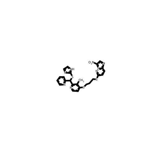 Cc1c(SCCCSc2ccc3ncc([N+](=O)[O-])n3n2)ccnc1C(Sc1ncc[nH]1)c1ccccn1